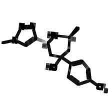 C[C@H]1CC(O)(c2ccc(C(F)(F)F)cc2)C[C@H](c2cn(C)nn2)N1